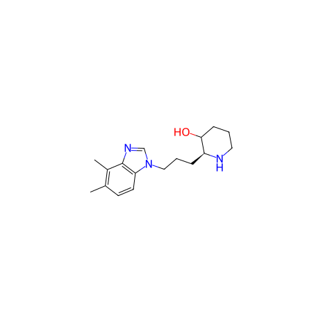 Cc1ccc2c(ncn2CCC[C@@H]2NCCCC2O)c1C